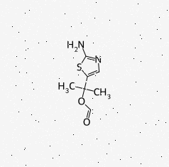 CC(C)(OC=O)c1cnc(N)s1